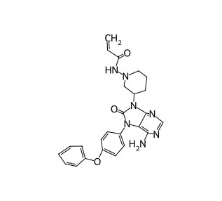 C=CC(=O)NN1CCCC(n2c(=O)n(-c3ccc(Oc4ccccc4)cc3)c3c(N)ncnc32)C1